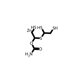 NC(=O)OC(CS)SC(S)CS.[Zn]